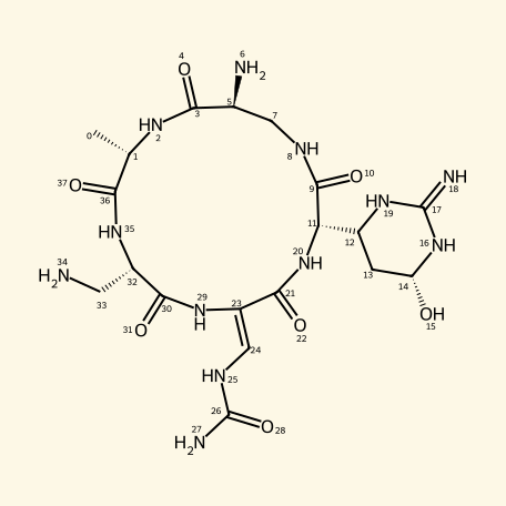 C[C@@H]1NC(=O)[C@@H](N)CNC(=O)[C@H](C2C[C@@H](O)NC(=N)N2)NC(=O)/C(=C/NC(N)=O)NC(=O)[C@H](CN)NC1=O